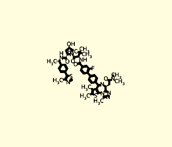 Cc1ncsc1-c1ccc([C@H](C)NC(=O)[C@@H]2C[C@@H](O)CN2C(=O)[C@@H](NC(=O)c2ccc(-c3ccc(C4=N[C@@H](CC(=O)N(C)C)c5nnc(C)n5-c5sc(C)c(C)c54)cc3)c(F)c2)C(C)(C)C)cc1